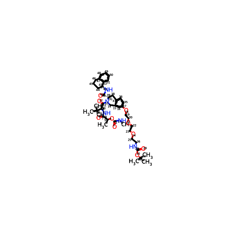 CNC(=O)OC(C)C(=O)NC(C(=O)N1Cc2cc(OCCOCCOCCNC(=O)OC(C)(C)C)ccc2C[C@H]1C(=O)N[C@@H]1CCCc2ccccc21)C(C)(C)C